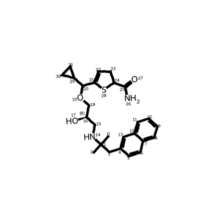 CC(C)(Cc1ccc2ccccc2c1)NC[C@@H](O)COC(C1=CCC(C(N)=O)S1)C1CC1